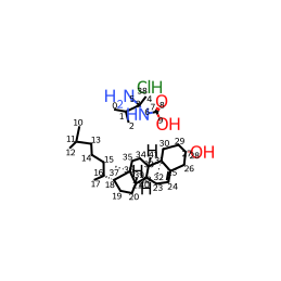 CC(C)C(C)(N)NC(=O)O.CC(C)CCCC(C)[C@H]1CC[C@H]2[C@@H]3CC=C4C[C@@H](O)CC[C@]4(C)[C@H]3CC[C@]12C.Cl